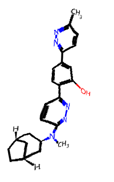 Cc1ccc(-c2ccc(-c3ccc(N(C)[C@H]4C[C@@H]5CC[C@@H](C5)C4)nn3)c(O)c2)nn1